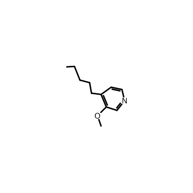 CCCCCc1ccncc1OC